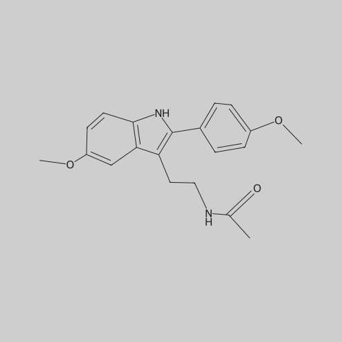 COc1ccc(-c2[nH]c3ccc(OC)cc3c2CCNC(C)=O)cc1